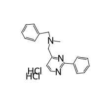 CN(Cc1ccccc1)Cc1ccnc(-c2ccccc2)n1.Cl.Cl